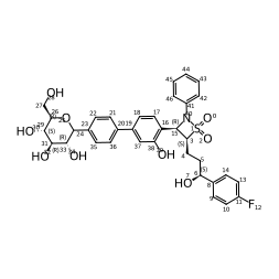 O=S1(=O)[C@@H](CC[C@H](O)c2ccc(F)cc2)[C@@H](c2ccc(-c3ccc(C4O[C@H](CO)[C@@H](O)[C@H](O)[C@H]4O)cc3)cc2O)N1c1ccccc1